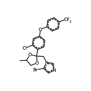 CC1COC(Cn2cncc2Br)(c2ccc(Oc3ccc(C(F)(F)F)cc3)cc2Cl)O1